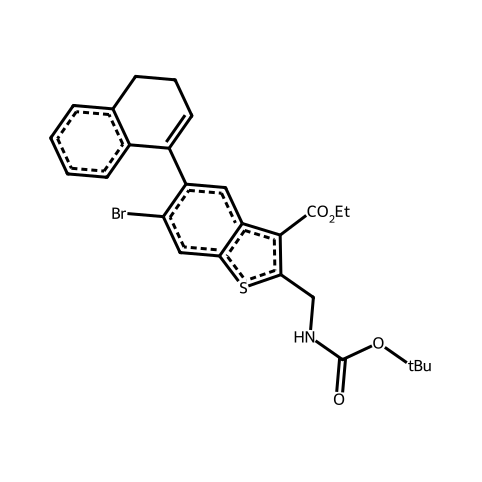 CCOC(=O)c1c(CNC(=O)OC(C)(C)C)sc2cc(Br)c(C3=CCCc4ccccc43)cc12